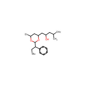 CCC1CC(CC(O)CC(C)OC(C)=O)OC(C(CC(C)(C)C)c2ccccc2)O1